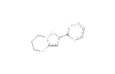 c1cnc(-c2cc3n(n2)CCCC3)nc1